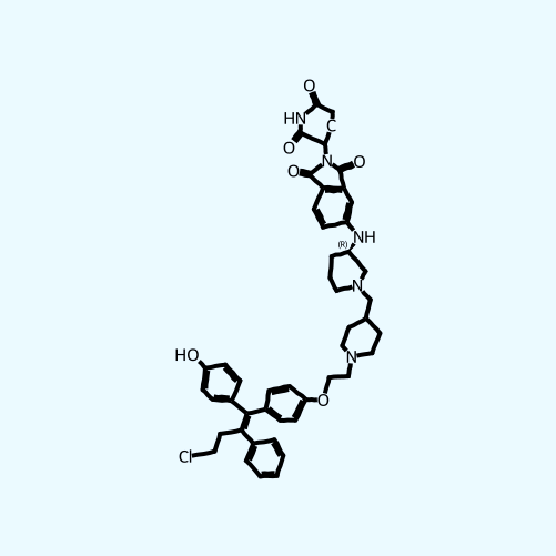 O=C1CCC(N2C(=O)c3ccc(N[C@@H]4CCCN(CC5CCN(CCOc6ccc(C(=C(CCCl)c7ccccc7)c7ccc(O)cc7)cc6)CC5)C4)cc3C2=O)C(=O)N1